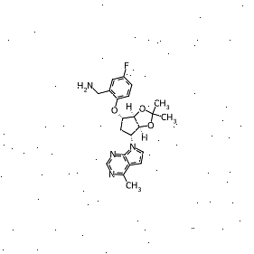 Cc1ncnc2c1ccn2[C@@H]1C[C@H](Oc2ccc(F)cc2CN)[C@H]2OC(C)(C)O[C@H]21